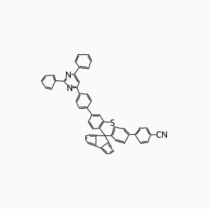 N#Cc1ccc(-c2ccc3c(c2)Sc2cc(-c4ccc(-c5cc(-c6ccccc6)nc(-c6ccccc6)n5)cc4)ccc2C32c3ccccc3-c3ccccc32)cc1